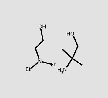 CC(C)(N)CO.CCN(CC)CCO